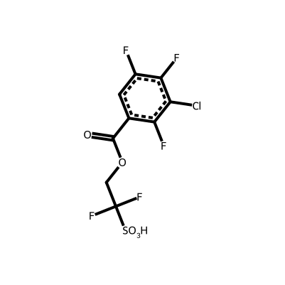 O=C(OCC(F)(F)S(=O)(=O)O)c1cc(F)c(F)c(Cl)c1F